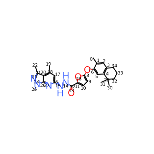 Cc1cc2c(cc1Oc1ccc(C(=O)NNc3cc(C)c4c(C)nn(C)c4n3)o1)C(C)(C)CCC2